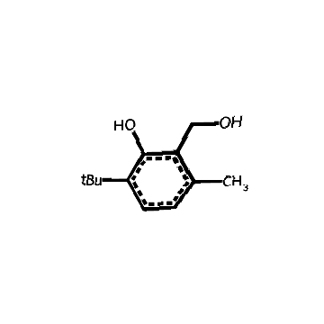 Cc1ccc(C(C)(C)C)c(O)c1CO